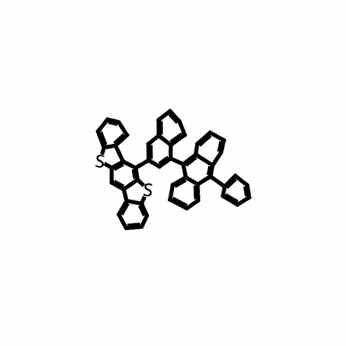 c1ccc(-c2c3ccccc3c(-c3cc(-c4c5sc6ccccc6c5cc5sc6ccccc6c45)cc4ccccc34)c3ccccc23)cc1